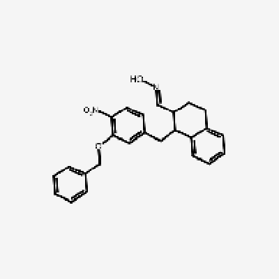 O=[N+]([O-])c1ccc(CC2c3ccccc3CCC2C=NO)cc1OCc1ccccc1